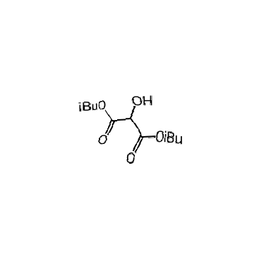 CC(C)COC(=O)C(O)C(=O)OCC(C)C